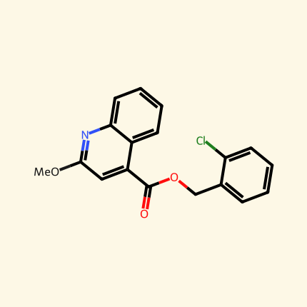 COc1cc(C(=O)OCc2ccccc2Cl)c2ccccc2n1